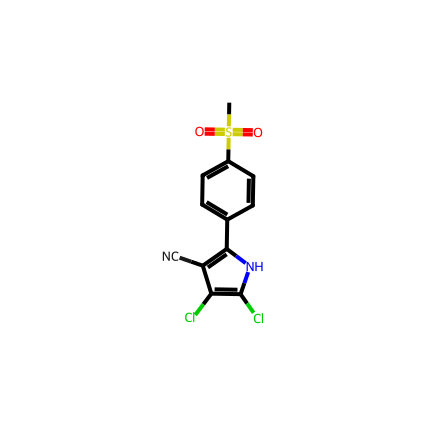 CS(=O)(=O)c1ccc(-c2[nH]c(Cl)c(Cl)c2C#N)cc1